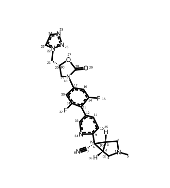 CN1C[C@@H]2[C@H](C1)[C@@]2(C#N)c1ccc(-c2c(F)cc(N3C[C@H](Cn4ccnn4)OC3=O)cc2F)cn1